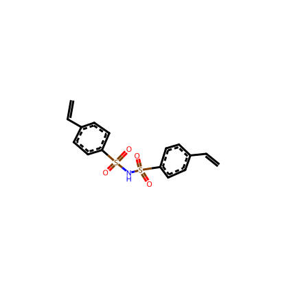 C=Cc1ccc(S(=O)(=O)NS(=O)(=O)c2ccc(C=C)cc2)cc1